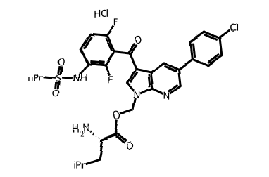 CCCS(=O)(=O)Nc1ccc(F)c(C(=O)c2cn(COC(=O)[C@@H](N)CC(C)C)c3ncc(-c4ccc(Cl)cc4)cc23)c1F.Cl